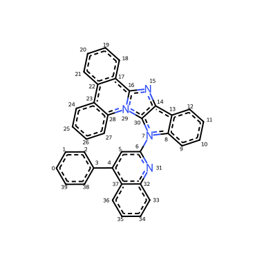 c1ccc(-c2cc(-n3c4ccccc4c4nc5c6ccccc6c6ccccc6n5c43)nc3ccccc23)cc1